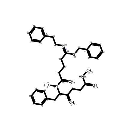 C=C(CCC(=C)C(Cc1ccccc1)N(C)C(=C)CCC/C(=N\CCc1ccccc1)SCc1ccccc1)NC